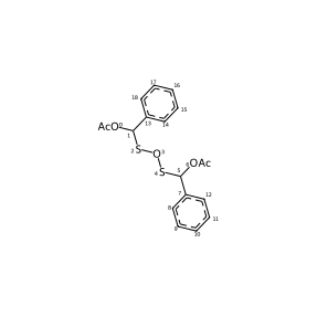 CC(=O)OC(SOSC(OC(C)=O)c1ccccc1)c1ccccc1